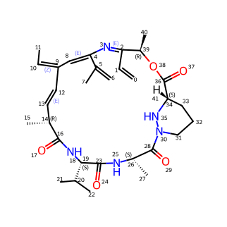 C=C\C1=N/C(C(=C)C)=C/C(=C\C)/C=C/[C@@H](C)C(=O)N[C@@H](C(C)C)C(=O)N[C@@H](C)C(=O)N2CCC[C@H](N2)C(=O)O[C@@H]1C